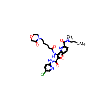 COCCN(C)C(=O)c1ccc2oc(C(=O)Nc3ccc(Cl)cn3)c(NC(=O)CCCCN3CCOCC3=O)c2n1